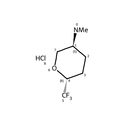 CN[C@H]1CC[C@H](C(F)(F)F)OC1.Cl